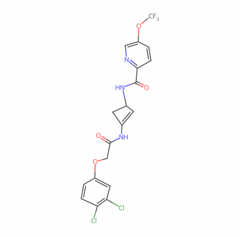 O=C(COc1ccc(Cl)c(Cl)c1)NC1=CC(NC(=O)c2ccc(OC(F)(F)F)cn2)C1